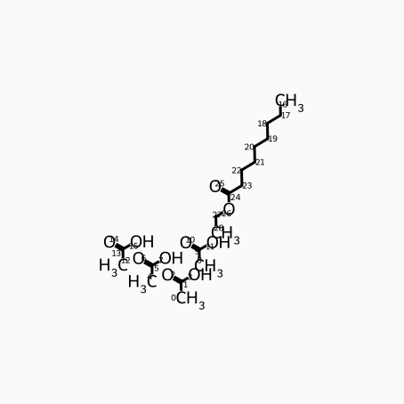 CC(=O)O.CC(=O)O.CC(=O)O.CC(=O)O.CCCCCCCCC(=O)OCC